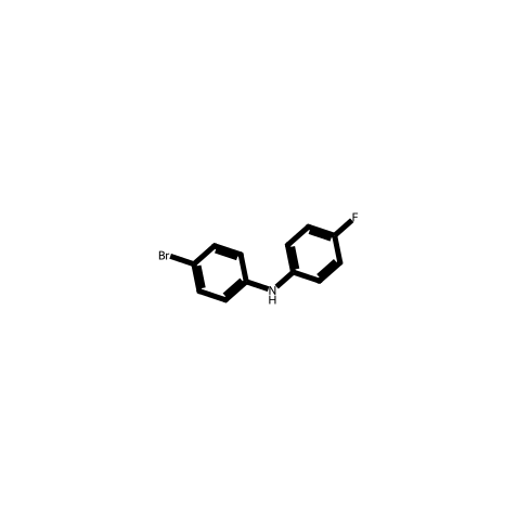 Fc1ccc(Nc2ccc(Br)cc2)cc1